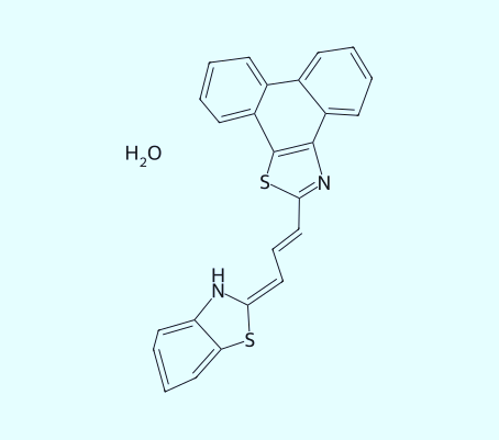 C(=Cc1nc2c3ccccc3c3ccccc3c2s1)C=C1Nc2ccccc2S1.O